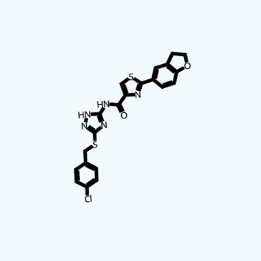 O=C(Nc1nc(SCc2ccc(Cl)cc2)n[nH]1)c1csc(-c2ccc3c(c2)CCO3)n1